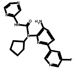 Nc1ccc(-c2cncc(F)c2)nc1N(C(=O)Nc1cnccn1)C1CCCC1